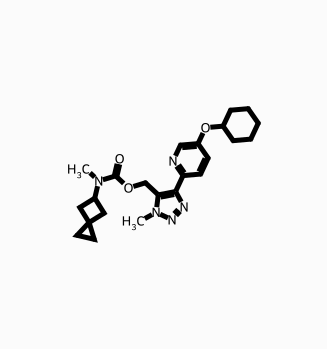 CN(C(=O)OCc1c(-c2ccc(OC3CCCCC3)cn2)nnn1C)C1CC2(CC2)C1